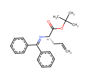 C=CC[C@H](N=C(c1ccccc1)c1ccccc1)C(=O)OC(C)(C)C